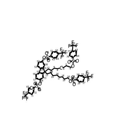 O=S(=O)(OCCCCCCCCC1(CCCCCCCCOS(=O)(=O)c2ccc(C(F)(F)F)cc2)c2cc(OS(=O)(=O)c3ccc(C(F)(F)F)cc3)ccc2-c2ccc(OS(=O)(=O)c3ccc(C(F)(F)F)cc3)cc21)c1ccc(C(F)(F)F)cc1